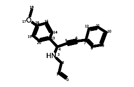 C=CCNC(C#Cc1ccccc1)c1ccc(OC)cc1